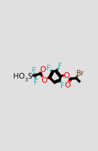 CC(Br)C(=O)Oc1c(F)cc(OC(=O)C(F)(F)S(=O)(=O)O)c(F)c1F